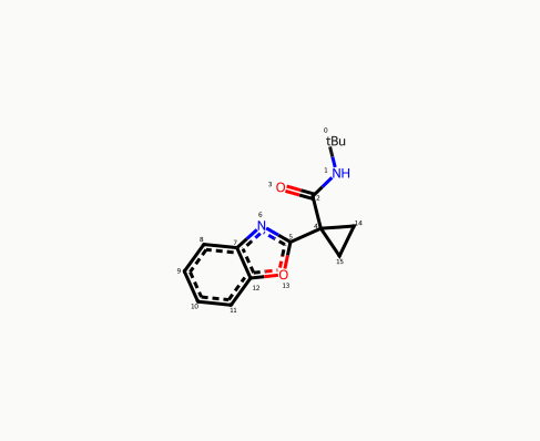 CC(C)(C)NC(=O)C1(c2nc3ccccc3o2)CC1